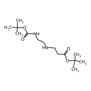 CC(C)(C)OC(=O)CCNCCNC(=O)OC(C)(C)C